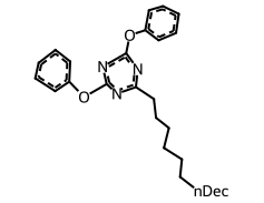 CCCCCCCCCCCCCCCCc1nc(Oc2ccccc2)nc(Oc2ccccc2)n1